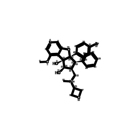 COc1cncc2c1[C@]1(O)[C@H](O)[C@H](CN(C)C3COC3)[C@@H](c3ccccc3)[C@]1(c1ccc(Br)cc1)O2